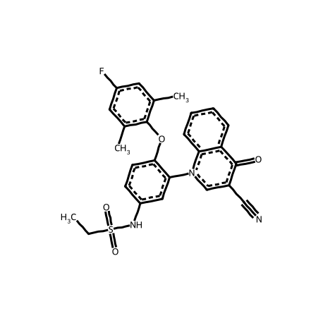 CCS(=O)(=O)Nc1ccc(Oc2c(C)cc(F)cc2C)c(-n2cc(C#N)c(=O)c3ccccc32)c1